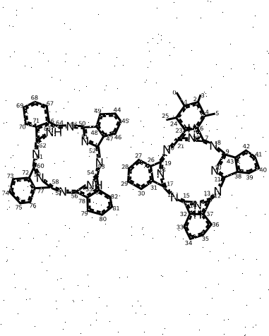 Cc1c(C)c(C)c2c3nc4nc(nc5[nH]c(nc6nc(nc([nH]3)c2c1C)-c1ccccc1-6)c1ccccc51)-c1ccccc1-4.c1ccc2c(c1)-c1nc-2nc2[nH]c(nc3nc(nc4[nH]c(n1)c1ccccc41)-c1ccccc1-3)c1ccccc21